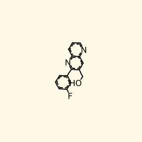 OCc1cc2ncccc2nc1-c1cccc(F)c1